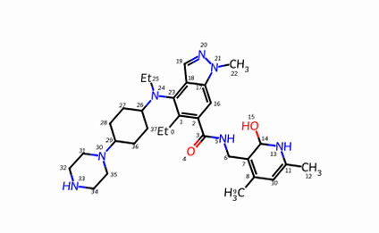 CCc1c(C(=O)NCC2=C(C)C=C(C)NC2O)cc2c(cnn2C)c1N(CC)C1CCC(N2CCNCC2)CC1